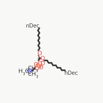 CCCCCCCCCCCCCCCCCCCCOC[C@H](COP(=O)([O-])OCC[N+](C)(C)C)OC(=O)CCCCCCCCCCCCCCCCCCC